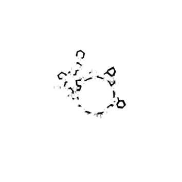 CC[C@H](C)[C@@H]1NC(=O)[C@H](C)NC(=O)C[C@@H](C(=O)N(C)[C@@H](C)C(=O)N[C@H](C(=O)N2CCC[C@H]2C(=O)N[C@H](C(=O)N[C@@H](C)C(=O)N2CCCCC2)C(C)C)[C@@H](C)CC)NC(=O)[C@@H]2CCCN2C(=O)[C@H](CC(C)C)NC(=O)[C@H](Cc2ccccc2)N(C)C(=O)[C@H]([C@@H](C)O)NC(=O)[C@H](Cc2ccccc2)N(C)C(=O)[C@H](C)N(C)C1=O